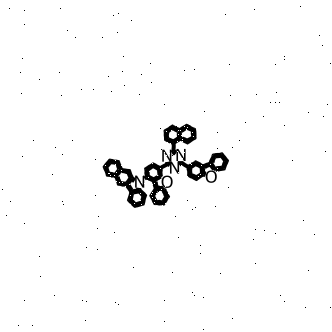 c1ccc2cc3c(cc2c1)c1ccccc1n3-c1ccc(-c2nc(-c3ccc4oc5ccccc5c4c3)nc(-c3cccc4ccccc34)n2)c2oc3ccccc3c12